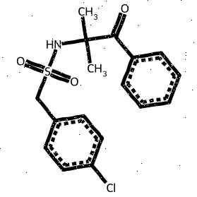 CC(C)(NS(=O)(=O)Cc1ccc(Cl)cc1)C(=O)c1ccccc1